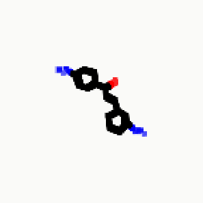 Nc1ccc(C(=O)C=Cc2cccc(N)c2)cc1